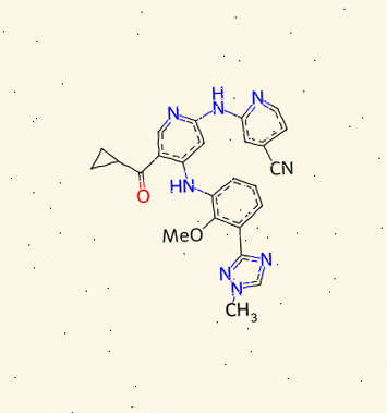 COc1c(Nc2cc(Nc3cc(C#N)ccn3)ncc2C(=O)C2CC2)cccc1-c1ncn(C)n1